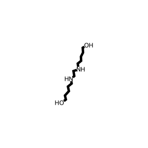 OCCCCCNCCNCCCCCO